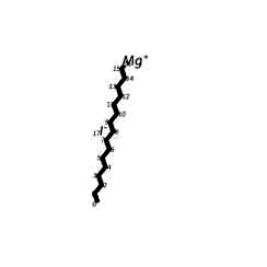 CCCCCCCCCCCCCCC[CH2][Mg+].[I-]